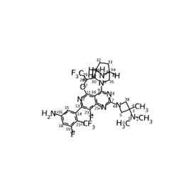 CN(C)C1(C)CN(c2nc3c4c(nc(-c5cc(N)cc(F)c5C(F)(F)F)c(F)c4n2)O[C@@H](C(F)(F)F)[C@@H]2[C@@H]4CC[C@H](CN32)N4)C1